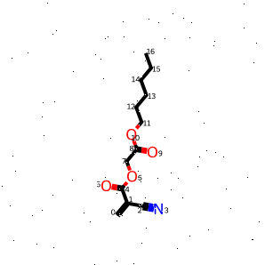 C=C(C#N)C(=O)OCC(=O)OCCCCCC